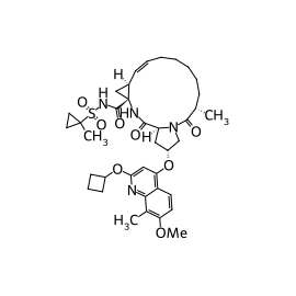 COc1ccc2c(O[C@@H]3C[C@H]4C(=O)N[C@]5(C(=O)NS(=O)(=O)C6(C)CC6)C[C@H]5/C=C\CCCCC[C@H](C)C(=O)N4C3)cc(OC3CCC3)nc2c1C